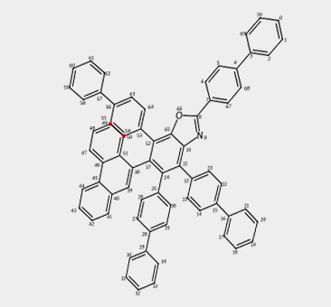 c1ccc(-c2ccc(-c3nc4c(-c5ccc(-c6ccccc6)cc5)c(-c5ccc(-c6ccccc6)cc5)c(-c5cc6ccccc6c6ccccc56)c(-c5ccc(-c6ccccc6)cc5)c4o3)cc2)cc1